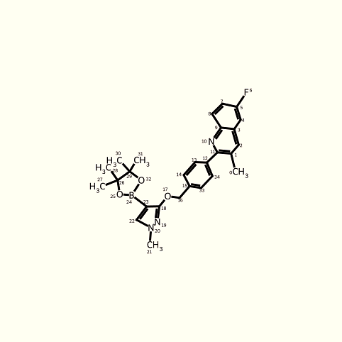 Cc1cc2cc(F)ccc2nc1-c1ccc(COc2nn(C)cc2B2OC(C)(C)C(C)(C)O2)cc1